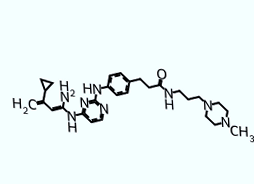 C=C(/C=C(\N)Nc1ccnc(Nc2ccc(CCC(=O)NCCCN3CCN(C)CC3)cc2)n1)C1CC1